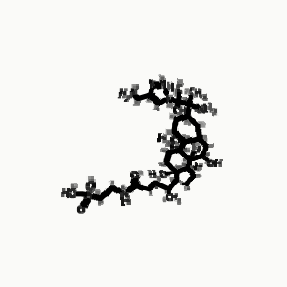 C[C@@H](CCC(=O)NCCS(=O)(=O)O)[C@H]1CC[C@@H]2[C@H]3[C@H](O)CC4CC(C(C)(N)C(C)(C)n5cc(CN)nn5)CC[C@@]4(C)[C@@H]3CC[C@]21C